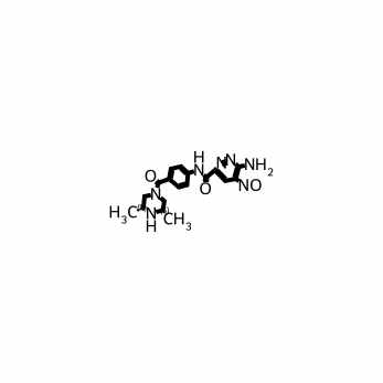 C[C@@H]1CN(C(=O)c2ccc(NC(=O)c3cc(N=O)c(N)nn3)cc2)C[C@H](C)N1